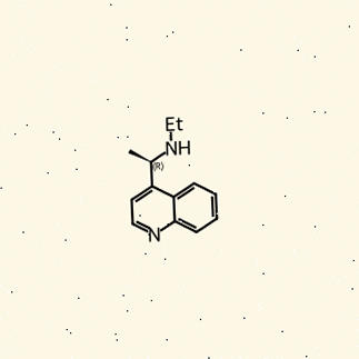 CCN[C@H](C)c1ccnc2ccccc12